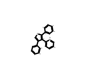 c1ccc(-c2csc(-c3ccccc3)c2-c2ccccn2)cc1